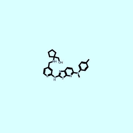 Cc1ccc(N(C)c2ccc3nc(Nc4cc(CNC5(CO)CCCC5)ccn4)sc3n2)cc1